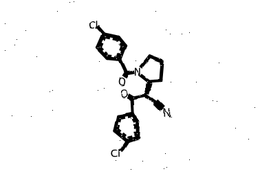 N#C/C(C(=O)c1ccc(Cl)cc1)=C1\CCCN1C(=O)c1ccc(Cl)cc1